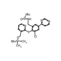 CC(C)(C)[S+]([O-])NCc1cc(-c2ccncn2)cc(Cl)c1Sc1ncccc1CO[Si](C)(C)C(C)(C)C